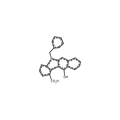 O=C(O)c1cccc2c1c1c(O)c3ccccc3cc1n2Cc1ccccc1